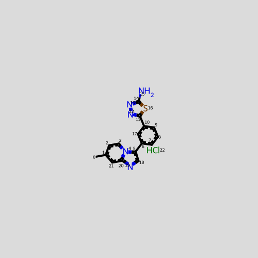 Cc1ccn2c(-c3cccc(-c4nnc(N)s4)c3)cnc2c1.Cl